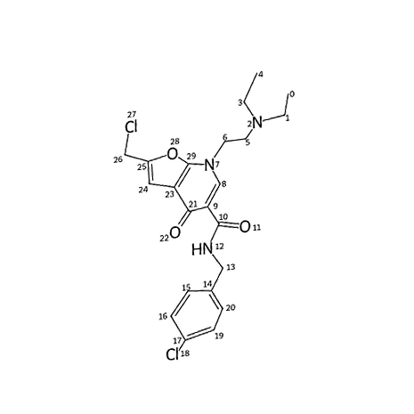 CCN(CC)CCn1cc(C(=O)NCc2ccc(Cl)cc2)c(=O)c2cc(CCl)oc21